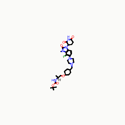 [2H][C@@](C)(COC1CCC(CN2CCN(c3ccc4c(c3F)n(C)c(=O)n4C3CCC(=O)NC3=O)CC2)CC1)NC(=O)OC(C)(C)C